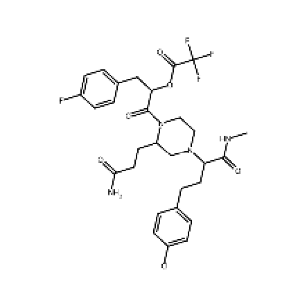 CNC(=O)C(CCc1ccc(Cl)cc1)N1CCN(C(=O)C(Cc2ccc(F)cc2)OC(=O)C(F)(F)F)C(CCC(N)=O)C1